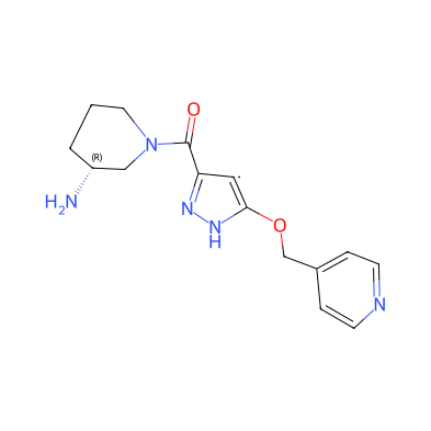 N[C@@H]1CCCN(C(=O)c2[c]c(OCc3ccncc3)[nH]n2)C1